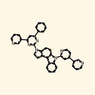 c1ccc(-c2cc(-c3cccnc3)nc(-n3ccc4c5c6ccccc6n(-c6cc(-c7cccnc7)ccn6)c5ccc43)n2)cc1